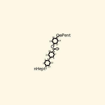 CCCCCCCc1ccc(-c2ccc(C(=O)Oc3ccc(OCCCCC)cc3)cc2)cc1